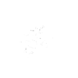 Cc1ncc(-c2cc(C3(c4ccnc(C(F)F)c4)N=C(N)N(C)C3=O)ccc2F)cn1